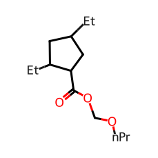 CCCOCOC(=O)C1CC(CC)CC1CC